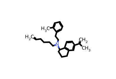 C=CCCCCN(CCc1ccccc1C)C1CCCc2cc(C(=C)C)ccc21